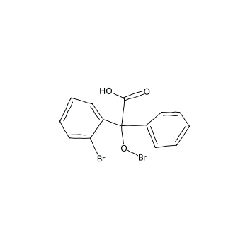 O=C(O)C(OBr)(c1ccccc1)c1ccccc1Br